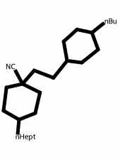 CCCCCCCC1CCC(C#N)(CCC2CCC(CCCC)CC2)CC1